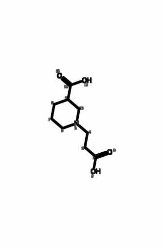 O=C(O)CCN1CCCC(C(=O)O)C1